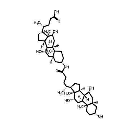 C[C@H](CCC(=O)N[C@H]1CC[C@@]2(C)[C@@H](C1)C[C@@H](O)[C@@H]1[C@@H]2C[C@H](O)[C@]2(C)[C@@H]([C@H](C)CCC(=O)O)CC[C@@H]12)[C@H]1CC[C@H]2[C@@H]3[C@H](O)C[C@@H]4C[C@H](O)CC[C@]4(C)[C@H]3C[C@H](O)[C@]12C